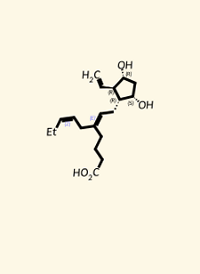 C=C[C@@H]1[C@@H](C/C=C(/C/C=C\CC)CCCC(=O)O)[C@@H](O)C[C@H]1O